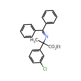 CCOC(=O)C(C)(N=C(c1ccccc1)c1ccccc1)c1cccc(Cl)c1